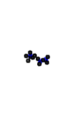 C1=CCCC(c2c(-c3ccccc3)n(-c3ccccc3)c3c2ccc2c(-c4ccc(N(c5ccccc5)c5ccc6c(c5)c5ccccc5n6-c5ccccc5)cc4)cccc23)=C1